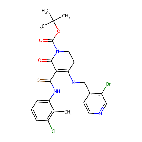 Cc1c(Cl)cccc1NC(=S)C1=C(NCc2ccncc2Br)CCN(C(=O)OC(C)(C)C)C1=O